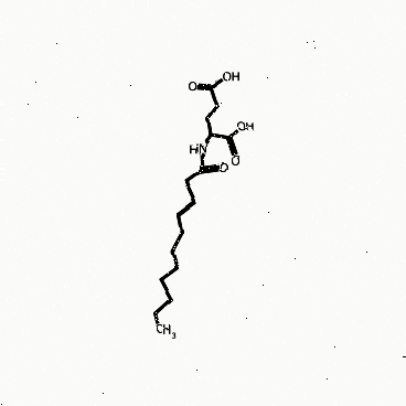 CCCCCCCCCCC(=O)NC(CCC(=O)O)C(=O)O